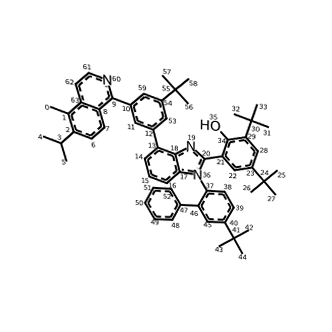 Cc1c(C(C)C)ccc2c(-c3cc(-c4cccc5c4nc(-c4cc(C(C)(C)C)cc(C(C)(C)C)c4O)n5-c4ccc(C(C)(C)C)cc4-c4ccccc4)cc(C(C)(C)C)c3)nccc12